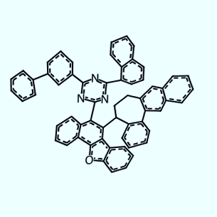 c1ccc(-c2cccc(-c3nc(-c4cccc5ccccc45)nc(-c4c(C5CCc6cc7ccccc7cc6-c6ccccc65)c5c6ccccc6oc5c5ccccc45)n3)c2)cc1